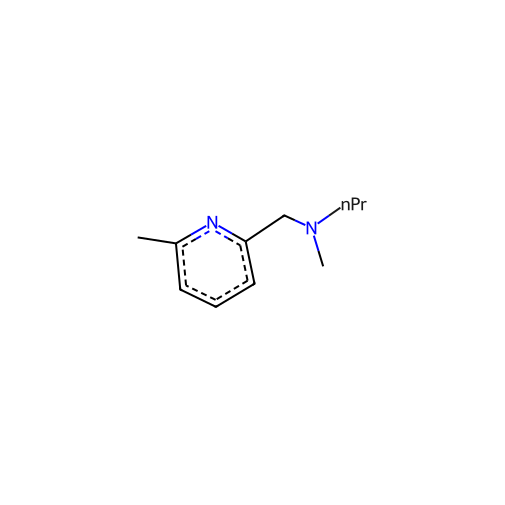 CCCN(C)Cc1cccc(C)n1